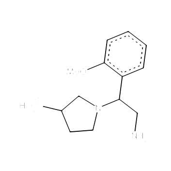 COc1ccccc1C(CN)N1CCC(C(=O)O)C1